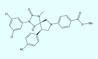 CN1C(=O)N(c2cc(Cl)cc(Cl)c2)C(=O)[C@]12CN(c1ccc(C(=O)OC(C)(C)C)cc1)C[C@H]2c1ccc(C#N)cc1